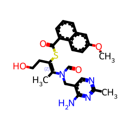 COc1ccc2c(C(=O)S/C(CCO)=C(/C)N(C=O)Cc3cnc(C)nc3N)cccc2c1